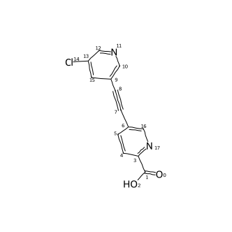 O=C(O)c1ccc(C#Cc2cncc(Cl)c2)cn1